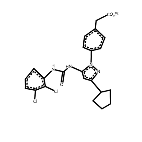 CCOC(=O)Cc1ccc(-n2nc(C3CCCC3)cc2NC(=O)Nc2cccc(Cl)c2Cl)cc1